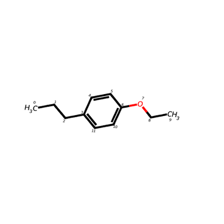 CC[CH]c1ccc(OCC)cc1